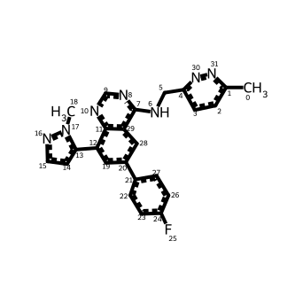 Cc1ccc(CNc2ncnc3c(-c4ccnn4C)cc(-c4ccc(F)cc4)cc23)nn1